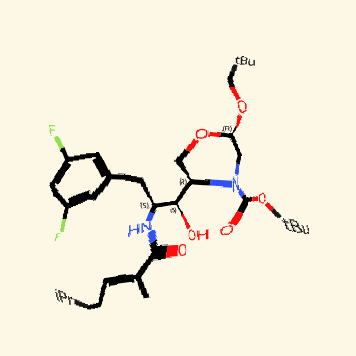 CC(=CCC(C)C)C(=O)N[C@@H](Cc1cc(F)cc(F)c1)[C@H](O)[C@H]1CO[C@@H](OCC(C)(C)C)CN1C(=O)OC(C)(C)C